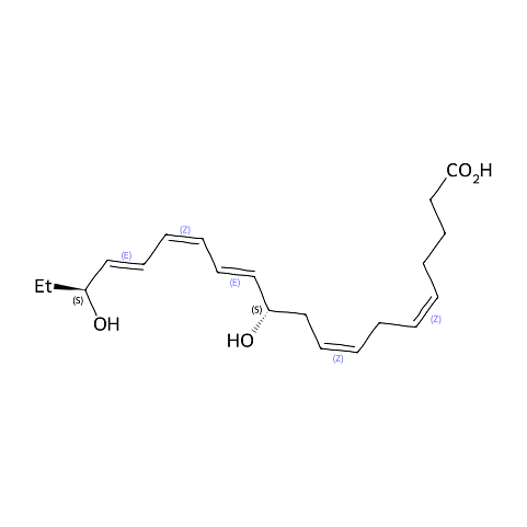 CC[C@H](O)/C=C/C=C\C=C\[C@@H](O)C/C=C\C/C=C\CCCC(=O)O